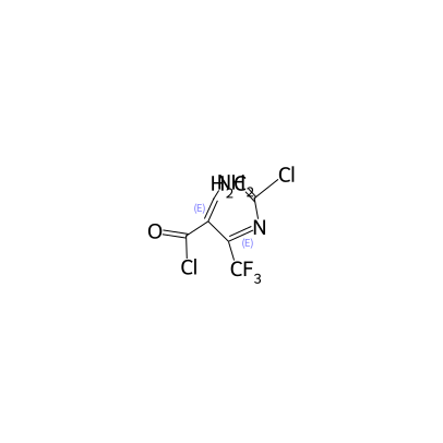 C=C(Cl)/N=C(\C(=C/N)C(=O)Cl)C(F)(F)F